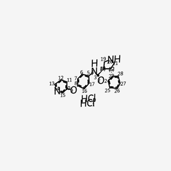 Cl.Cl.O=C(Nc1ccc(Oc2cccnc2)cc1)[C@H]1CNC[C@@H]1c1ccccc1